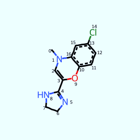 CN1C=C(C2=NCCN2)Oc2ccc(Cl)cc21